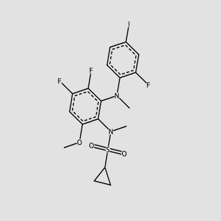 COc1cc(F)c(F)c(N(C)c2ccc(I)cc2F)c1N(C)S(=O)(=O)C1CC1